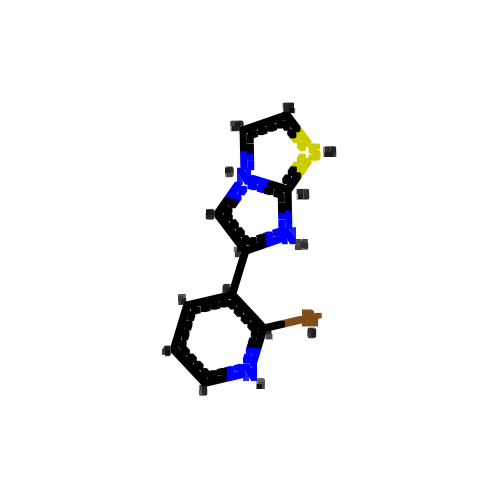 Brc1ncccc1-c1cn2ccsc2n1